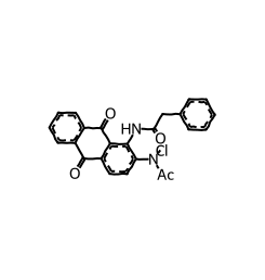 CC(=O)N(Cl)c1ccc2c(c1NC(=O)Cc1ccccc1)C(=O)c1ccccc1C2=O